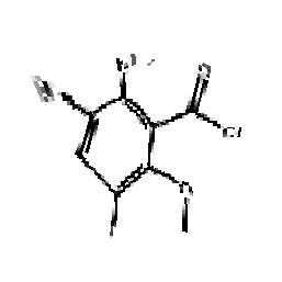 COc1c(I)cc(Br)c(N)c1C(=O)O